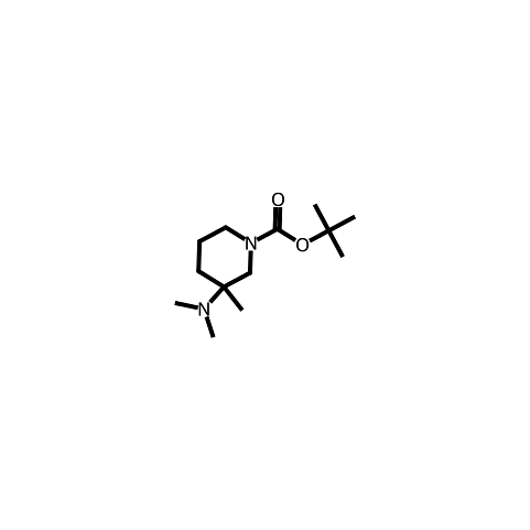 CN(C)C1(C)CCCN(C(=O)OC(C)(C)C)C1